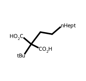 CCCCCCCCCC(C(=O)O)(C(=O)O)C(C)(C)C